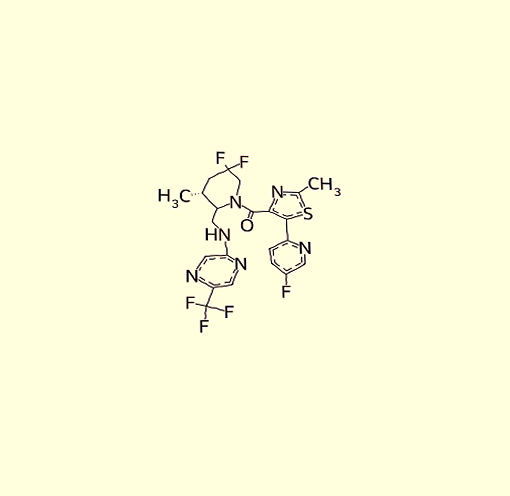 Cc1nc(C(=O)N2CC(F)(F)C[C@@H](C)C2CNc2cnc(C(F)(F)F)cn2)c(-c2ccc(F)cn2)s1